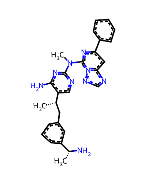 C[C@@H](N)c1cccc(C[C@H](C)c2cnc(N(C)c3nc(-c4ccccc4)cc4ncnn34)nc2N)c1